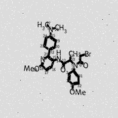 COc1ccc(N(C(=O)CBr)C(C)C(=O)Nc2ccc(OC)nc2-c2ccc(N(C)C)cc2)cc1